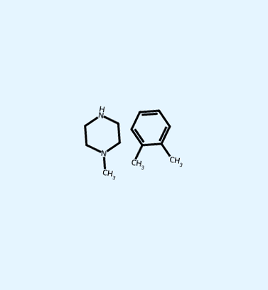 CN1CCNCC1.Cc1ccccc1C